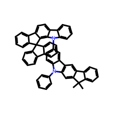 CC1(C)c2ccccc2-c2cc3c4cc(-n5c6ccccc6c6ccc7c(c65)C5(c6ccccc6-c6ccccc65)c5ccccc5-7)ccc4n(-c4ccccc4)c3cc21